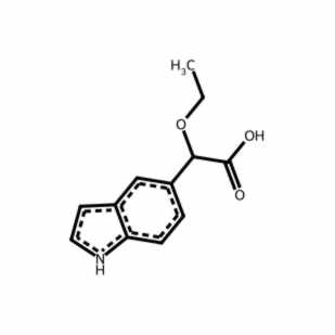 CCOC(C(=O)O)c1ccc2[nH]ccc2c1